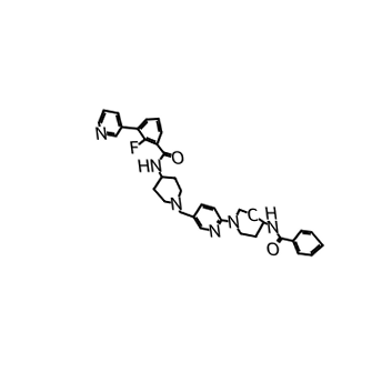 O=C(NC1CCN(c2ccc(CN3CCC(NC(=O)c4cccc(-c5cccnc5)c4F)CC3)cn2)CC1)c1ccccc1